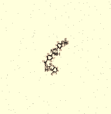 Cc1cccc(C)c1NC(=S)NC1CC1c1ccc(C(=N)/N=C\Nc2ccc(OC(F)(F)F)cc2)cc1